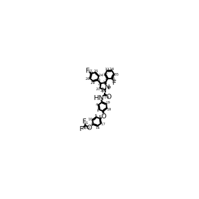 O=C(Nc1ccc(Oc2ccc(OC(F)F)cc2)cc1)N1CC(c2ccc(F)cc2)C(c2ccccc2F)=N1